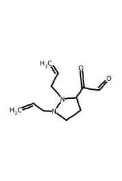 C=CCN1CCC(C(=O)C=O)N1CC=C